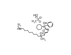 CNCCCCCCCC[N+](C)(C)Cc1cnc([C@](O)(c2ccccc2)C2CCCCC2)o1.CS(=O)(=O)[O-].Cl